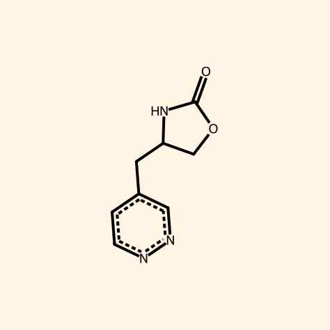 O=C1NC(Cc2ccnnc2)CO1